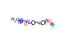 Cn1ncc(CC(=O)/N=C/C2CCC(CCN3CCc4nc(OC5CC(F)(F)C5)sc4CC3)CC2)n1